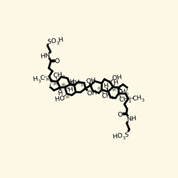 C[C@H](CCC(=O)NCCS(=O)(=O)O)[C@H]1CC[C@H]2[C@@H]3[C@@H](O)CC4CC(O)(C5(O)CC[C@@]6(C)C(C[C@H](O)[C@H]7[C@@H]8CC[C@H]([C@H](C)CCC(=O)NCCS(=O)(=O)O)[C@@]8(C)CC[C@@H]76)C5)CC[C@]4(C)[C@H]3CC[C@]12C